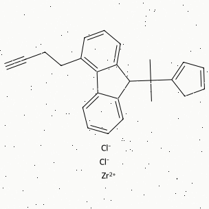 C#CCCc1cccc2c1-c1ccccc1C2C(C)(C)C1=CC=CC1.[Cl-].[Cl-].[Zr+2]